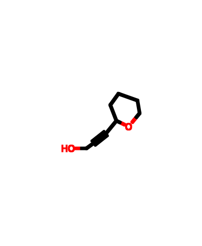 OCC#CC1CCCCO1